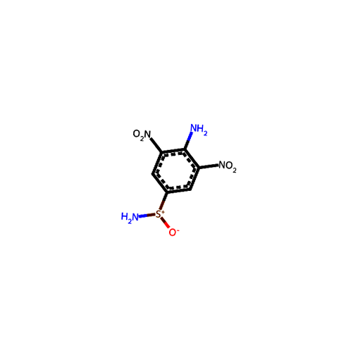 Nc1c([N+](=O)[O-])cc([S+](N)[O-])cc1[N+](=O)[O-]